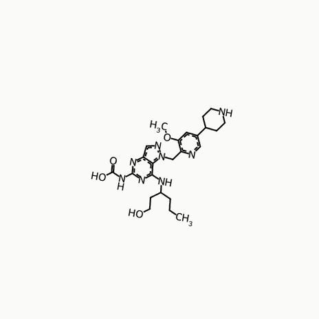 CCCC(CCO)Nc1nc(NC(=O)O)nc2cnn(Cc3ncc(C4CCNCC4)cc3OC)c12